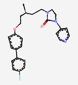 C[C@H](CCOc1ccc(-c2ccc(F)cc2)cc1)CCN1CCN(c2ccncc2)C1=O